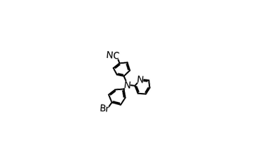 N#Cc1ccc(N(c2ccc(Br)cc2)c2ccccn2)cc1